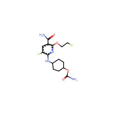 NC(=O)OC1CCC(Nc2nc(OCCF)c(C(N)=O)cc2F)CC1